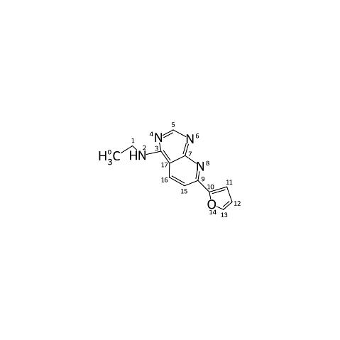 CCNc1ncnc2nc(-c3ccco3)ccc12